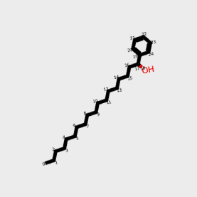 CCCCCCCCCCCCCCCCCC(O)c1ccccc1